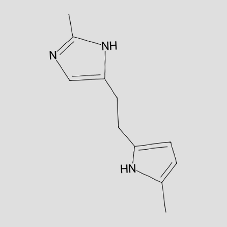 Cc1ccc(CCc2cnc(C)[nH]2)[nH]1